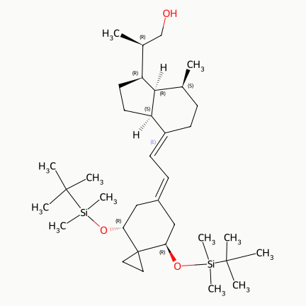 C[C@@H](CO)[C@@H]1CC[C@@H]2/C(=C/C=C3C[C@@H](O[Si](C)(C)C(C)(C)C)C4(CC4)[C@H](O[Si](C)(C)C(C)(C)C)C3)CC[C@H](C)[C@H]12